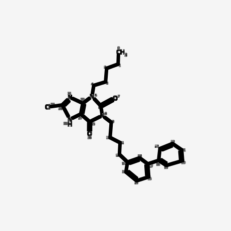 CCCCCn1c(=O)n(CCCCc2cccc(-c3ccccc3)c2)c(=O)c2[nH]c(Cl)nc21